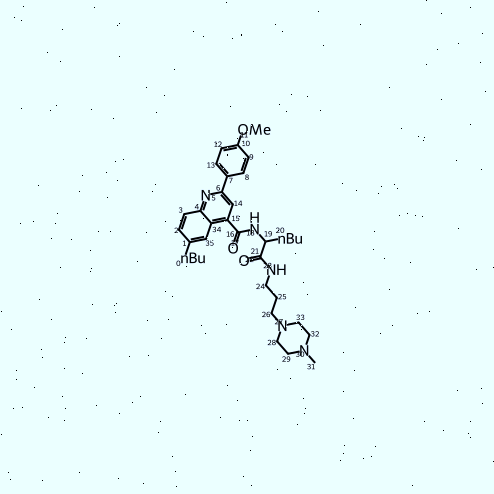 CCCCc1ccc2nc(-c3ccc(OC)cc3)cc(C(=O)NC(CCCC)C(=O)NCCCN3CCN(C)CC3)c2c1